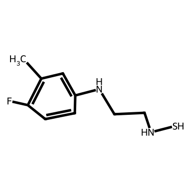 Cc1cc(NCCNS)ccc1F